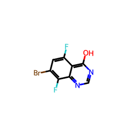 Oc1ncnc2c(F)c(Br)cc(F)c12